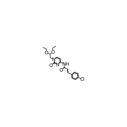 CCOC(Cn1ccc(NC(=O)/C=C/c2ccc(Cl)cc2)nc1=O)OCC